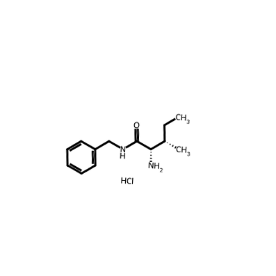 CC[C@H](C)[C@H](N)C(=O)NCc1ccccc1.Cl